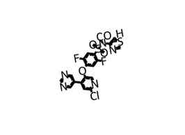 O=C(O)N(c1cscn1)S(=O)(=O)c1cc(F)c(Oc2cnc(Cl)cc2-c2cncnc2)cc1F